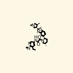 C=Nc1ncc(NC(=O)C(=O)N2C[C@@H](C)CC[C@@H]2c2ccc3sc([C@@H]4CN(C)C[C@H]4C)nc3c2)cc1CC